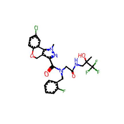 Cn1nc(C(=O)N(CC(=O)NCC(C)(O)C(F)(F)F)Cc2ccccc2F)c2c1-c1cc(Cl)ccc1OC2